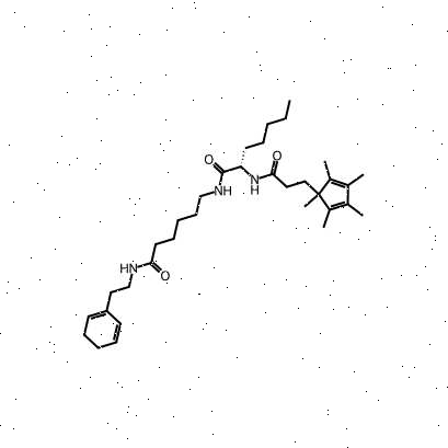 CCCCC[C@H](NC(=O)CCC1(C)C(C)=C(C)C(C)=C1C)C(=O)NCCCCCC(=O)NCCC1=CCCC=C1